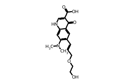 CN(C)c1cc2[nH]cc(C(=O)O)c(=O)c2cc1C=CCOCCO